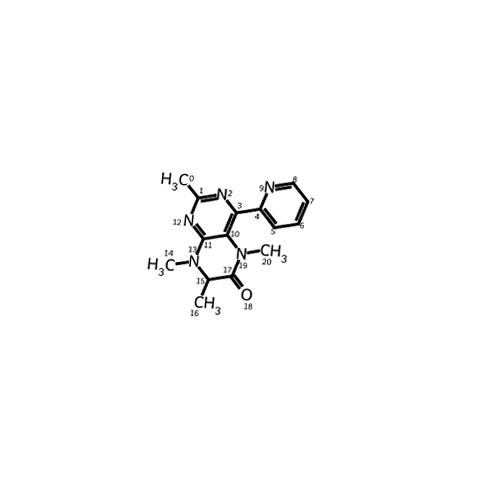 Cc1nc(-c2ccccn2)c2c(n1)N(C)C(C)C(=O)N2C